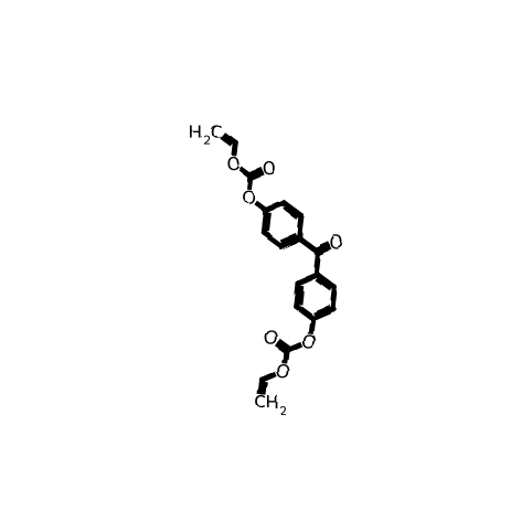 C=COC(=O)Oc1ccc(C(=O)c2ccc(OC(=O)OC=C)cc2)cc1